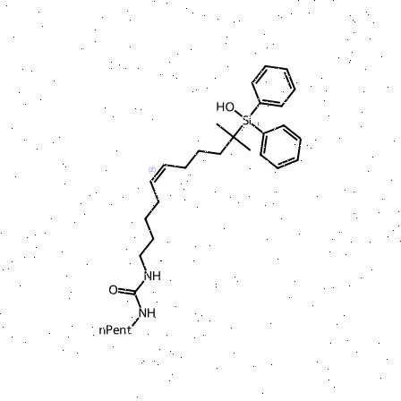 CCCCCNC(=O)NCCCC/C=C\CCCC(C)(C)[Si](O)(c1ccccc1)c1ccccc1